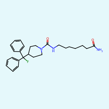 NC(=O)CCCCCCNC(=O)N1CCC(C(F)(c2ccccc2)c2ccccc2)CC1